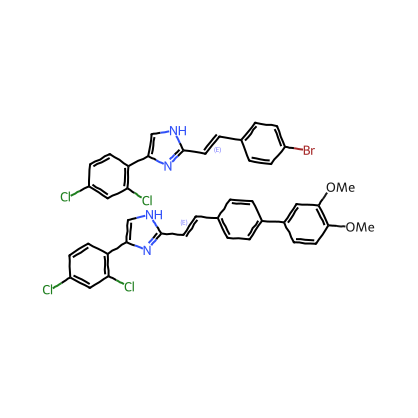 COc1ccc(-c2ccc(/C=C/c3nc(-c4ccc(Cl)cc4Cl)c[nH]3)cc2)cc1OC.Clc1ccc(-c2c[nH]c(/C=C/c3ccc(Br)cc3)n2)c(Cl)c1